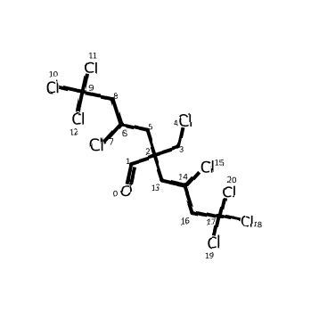 O=CC(CCl)(CC(Cl)CC(Cl)(Cl)Cl)CC(Cl)CC(Cl)(Cl)Cl